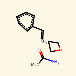 C1COC1.C=Cc1ccccc1.COC(N)=O